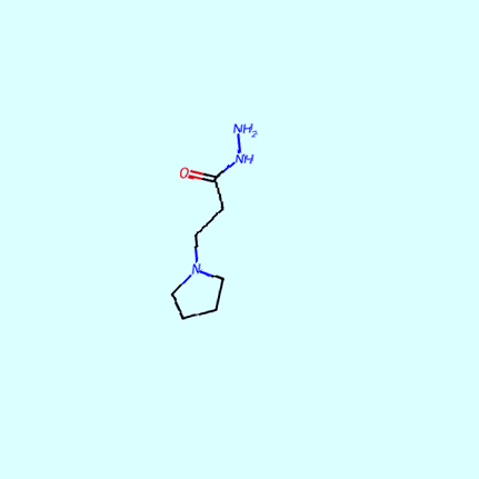 NNC(=O)CCN1CCCC1